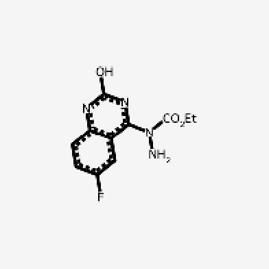 CCOC(=O)N(N)c1nc(O)nc2ccc(F)cc12